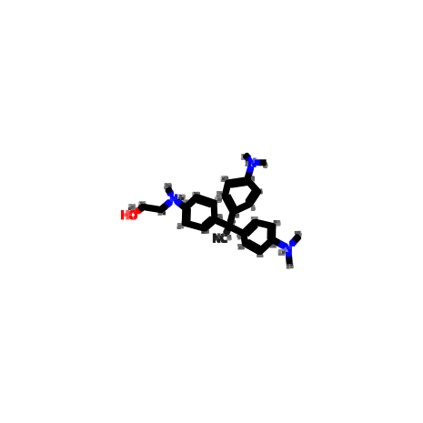 CN(C)c1ccc(C(C#N)(c2ccc(N(C)C)cc2)c2ccc(N(C)CCO)cc2)cc1